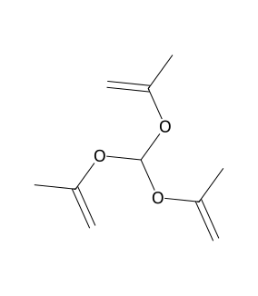 C=C(C)OC(OC(=C)C)OC(=C)C